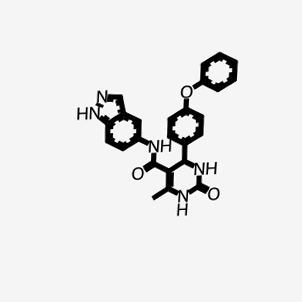 CC1=C(C(=O)Nc2ccc3[nH]ncc3c2)C(c2ccc(Oc3ccccc3)cc2)NC(=O)N1